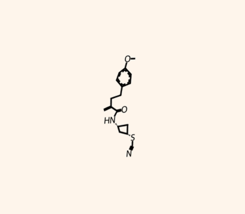 C=C(CCc1ccc(OC)cc1)C(=O)N[C@H]1C[C@@H](SC#N)C1